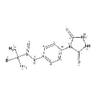 CC(C)(Br)C(=O)Nc1ccc(-n2c(=O)[nH][nH]c2=O)cc1